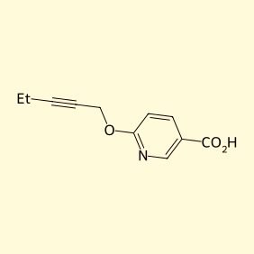 CCC#CCOc1ccc(C(=O)O)cn1